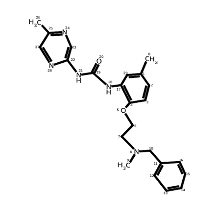 Cc1ccc(OCCN(C)Cc2ccccc2)c(NC(=O)Nc2cnc(C)cn2)c1